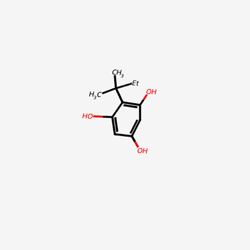 CCC(C)(C)c1c(O)cc(O)cc1O